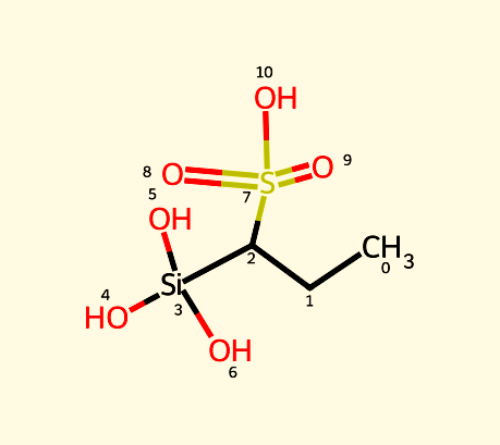 CCC([Si](O)(O)O)S(=O)(=O)O